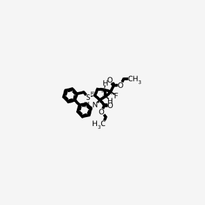 CCOC(=O)[C@@]1(N)[C@H]2[C@@H](C[C@H]1SCc1ccccc1-c1ccccc1)[C@]2(F)C(=O)OCC